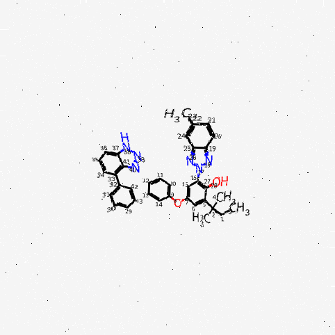 CCC(C)(C)c1cc(Oc2ccccc2)cc(-n2nc3ccc(C)cc3n2)c1O.c1ccc(-c2cccc3[nH]nnc23)cc1